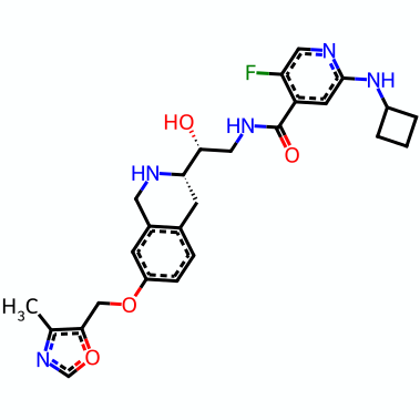 Cc1ncoc1COc1ccc2c(c1)CN[C@H]([C@H](O)CNC(=O)c1cc(NC3CCC3)ncc1F)C2